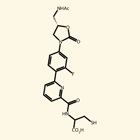 CC(=O)NC[C@H]1CN(c2ccc(-c3cccc(C(=O)NC(CS)C(=O)O)n3)c(F)c2)C(=O)O1